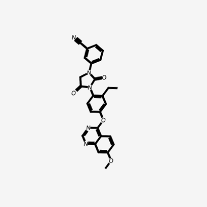 CCc1cc(Oc2ncnc3cc(OC)ccc23)ccc1N1C(=O)CN(c2cccc(C#N)c2)C1=O